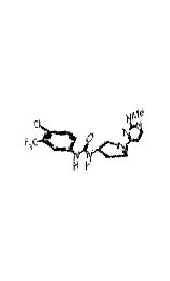 CNc1nccc(N2CCC(NC(=O)Nc3ccc(Cl)c(C(F)(F)F)c3)C2)n1